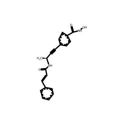 C[C@@H](C#Cc1ccc(C(=O)NO)cc1)NC(=O)/C=C/c1ccccc1